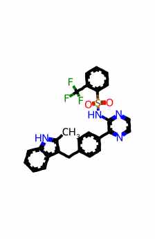 Cc1[nH]c2ccccc2c1Cc1ccc(-c2nccnc2NS(=O)(=O)c2ccccc2C(F)(F)F)cc1